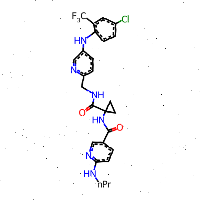 CCCNc1ccc(C(=O)NC2(C(=O)NCc3ccc(Nc4ccc(Cl)cc4C(F)(F)F)cn3)CC2)cn1